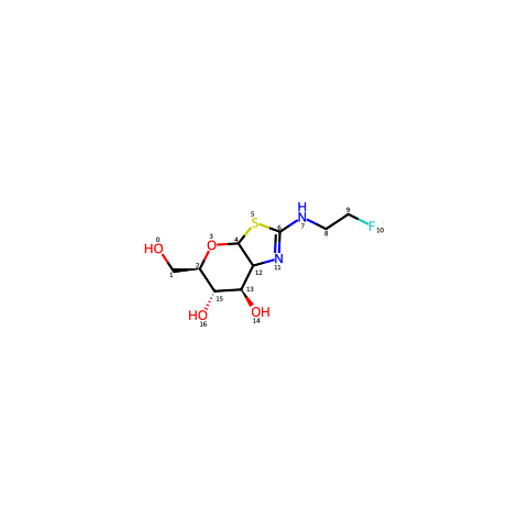 OC[C@H]1OC2SC(NCCF)=NC2[C@@H](O)[C@@H]1O